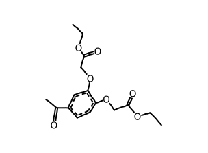 CCOC(=O)COc1ccc(C(C)=O)cc1OCC(=O)OCC